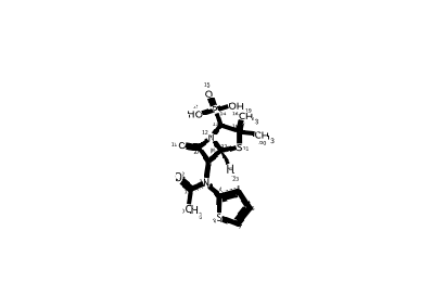 CC(=O)N(c1cccs1)C1C(=O)N2C(P(=O)(O)O)C(C)(C)S[C@H]12